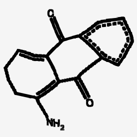 NC1=C2C(=O)c3ccccc3C(=O)C2=CCC1